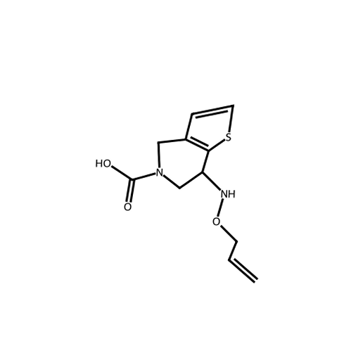 C=CCONC1CN(C(=O)O)Cc2ccsc21